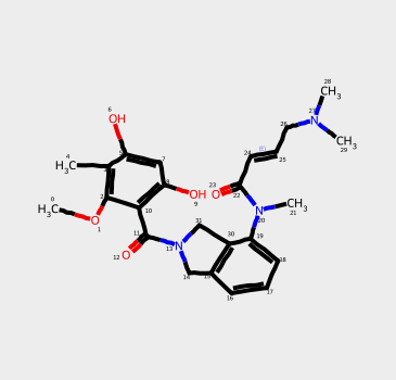 COc1c(C)c(O)cc(O)c1C(=O)N1Cc2cccc(N(C)C(=O)/C=C/CN(C)C)c2C1